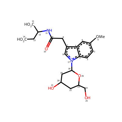 COc1ccc2c(c1)c(CC(=O)NC(CC(=O)O)C(=O)O)cn2C1CC(O)CC(CO)O1